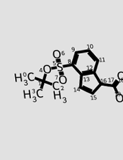 CC(C)(C)OS(=O)(=O)c1cccc2c1C=CC2C(=O)O